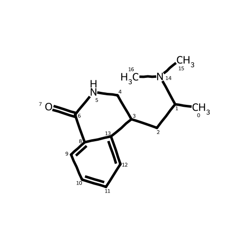 CC(CC1CNC(=O)c2ccccc21)N(C)C